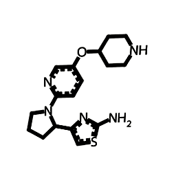 Nc1nc(C2CCCN2c2ccc(OC3CCNCC3)cn2)cs1